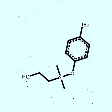 CC(C)(C)c1ccc(O[Si](C)(C)CCO)cc1